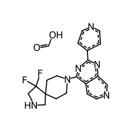 FC1(F)CNCC12CCN(c1nc(-c3ccncc3)nc3cnccc13)CC2.O=CO